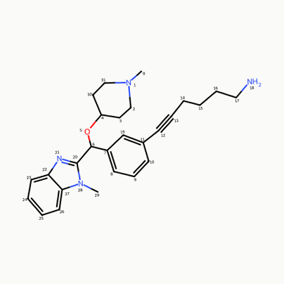 CN1CCC(OC(c2cccc(C#CCCCCN)c2)c2nc3ccccc3n2C)CC1